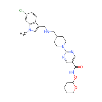 Cn1cc(CNCC2CCN(c3ncc(C(=O)NOC4CCCCO4)cn3)CC2)c2ccc(Cl)cc21